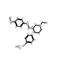 CCN1CC[C@H](c2ccc(F)cc2)[C@@H](COc2ccc(OC)cc2)C1.Cl